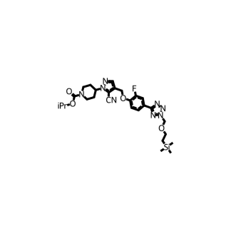 CC(C)OC(=O)N1CCC(n2ncc(COc3ccc(-c4nnn(COCC[Si](C)(C)C)n4)cc3F)c2C#N)CC1